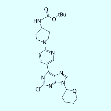 CC(C)(C)OC(=O)NC1CCN(c2ccc(-c3nc(Cl)nc4c3ncn4C3CCCCO3)cn2)CC1